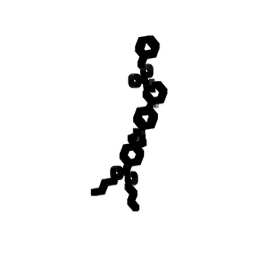 CCCCOC(OCCCC)C1CCC2(CC1)CN(c1ccc([C@@H]3CCCN(C(=O)OCc4ccccc4)C3)cc1)C2